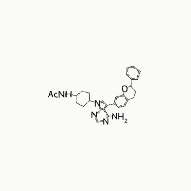 CC(=O)NC1CCC(n2cc(-c3ccc4c(c3)OC(c3ccccc3)CC4)c3c(N)ncnc32)CC1